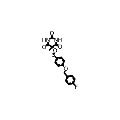 CC1(OSc2ccc(OCc3ccc(F)cc3)cc2)C(=O)NC(=O)NC1=O